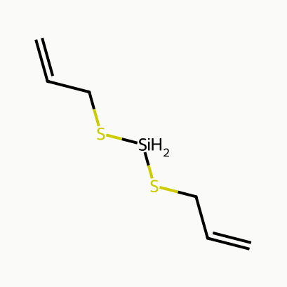 C=CCS[SiH2]SCC=C